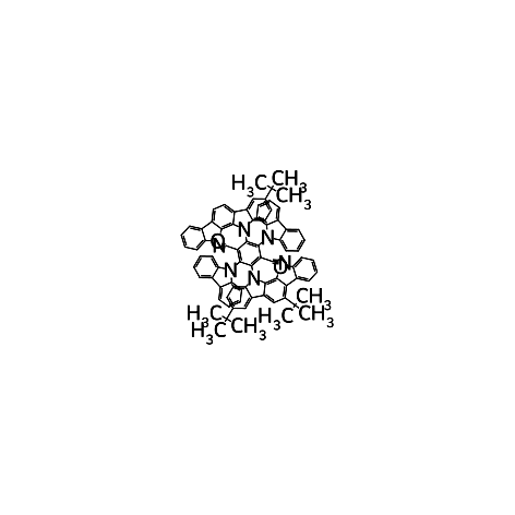 CC(C)(C)c1ccc2c(c1)c1ccc3c4ccccc4oc3c1n2-c1c(C#N)c(-n2c3ccccc3c3ccccc32)c(-n2c3ccc(C(C)(C)C)cc3c3cc(C(C)(C)C)c4c5ccccc5oc4c32)c(C#N)c1-n1c2ccccc2c2ccccc21